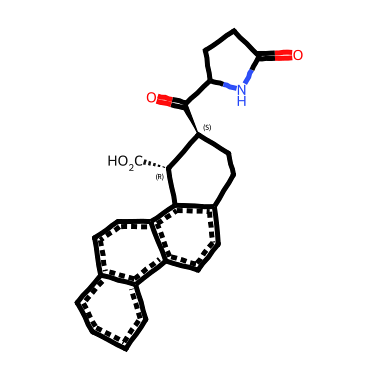 O=C1CCC(C(=O)[C@H]2CCc3ccc4c(ccc5ccccc54)c3[C@@H]2C(=O)O)N1